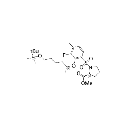 COC(=O)[C@@H]1CCCN1S(=O)(=O)c1ccc(C)c(F)c1O[C@H](C)CCCCO[Si](C)(C)C(C)(C)C